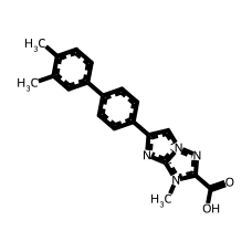 Cc1ccc(-c2ccc(-c3cn4nc(C(=O)O)n(C)c4n3)cc2)cc1C